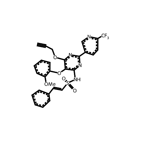 C#CCOc1nc(-c2ccc(C(F)(F)F)nc2)nc(NS(=O)(=O)C=Cc2ccccc2)c1Oc1ccccc1OC